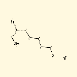 CCC(CO)CCCCCCO